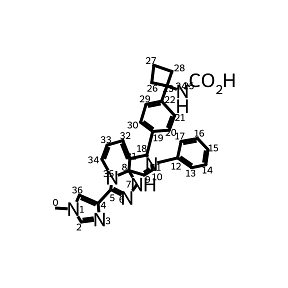 Cn1cnc(C2=NNC34C=CN(c5ccccc5)C(c5ccc(C6(NC(=O)O)CCC6)cc5)C3=CC=CN24)c1